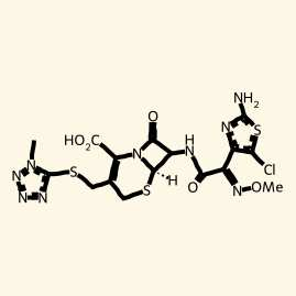 CO/N=C(/C(=O)NC1C(=O)N2C(C(=O)O)=C(CSc3nnnn3C)CS[C@H]12)c1nc(N)sc1Cl